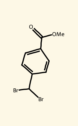 COC(=O)c1ccc(C(Br)Br)cc1